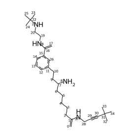 C=C(CCCCCC(N)CCc1cccc(C(=C)NCCNC(C)(C)C)c1)NCC#CC(C)(C)C